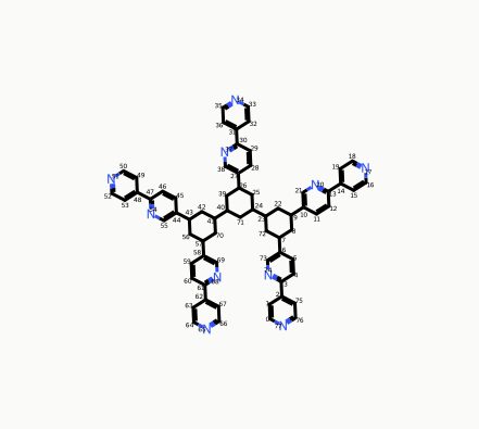 c1cc(-c2ccc(C3CC(c4ccc(-c5ccncc5)nc4)CC(C4CC(c5ccc(-c6ccncc6)nc5)CC(C5CC(c6ccc(-c7ccncc7)nc6)CC(c6ccc(-c7ccncc7)nc6)C5)C4)C3)cn2)ccn1